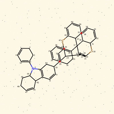 C1=CCCC(N2C3=C(C=CC(C4=CC5=C(CC4)C4(C6=C(CCC=C6C6C=CC=CC6)SC6C=CC=CC64)C4CC=CC=C4S5)C3)C3C=CCCC32)=C1